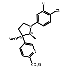 CCOC(=O)c1ccc([C@]2(OC)CCN(c3ccc(C#N)c(Cl)c3)[C@H]2C)cn1